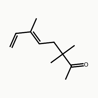 C=CC(C)=CCC(C)(C)C(C)=O